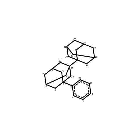 c1ccc(C23CC4CC(C2)CC(C25CC6CC(CC(C6)C2)C5)(C4)C3)cc1